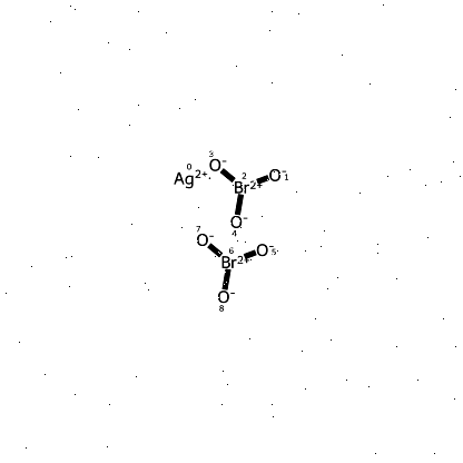 [Ag+2].[O-][Br+2]([O-])[O-].[O-][Br+2]([O-])[O-]